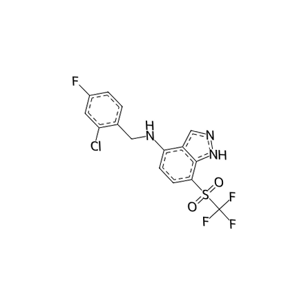 O=S(=O)(c1ccc(NCc2ccc(F)cc2Cl)c2cn[nH]c12)C(F)(F)F